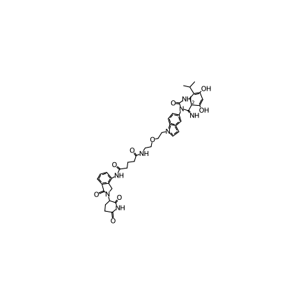 CC(C)C1=C(O)C=C(O)C(C(=N)N(C(N)=O)c2ccc3c(ccn3CCOCCNC(=O)CCCC(=O)Nc3cccc4c3CN(C3CCC(=O)NC3=O)C4=O)c2)C1